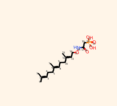 CC(C)=CCC/C(C)=C/CC/C(C)=C/CONC(=O)CP(=O)(O)O